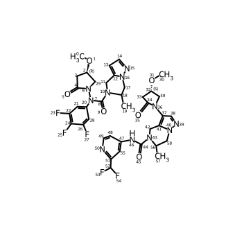 CO[C@@H]1CC(=O)N(N(C(=O)N2Cc3ccnn3CC2C)c2cc(F)c(F)c(F)c2)C1.CO[C@H]1CC(=O)N(c2cnn3c2CN(C(=O)Nc2ccnc(C(F)F)c2)C(C)C3)C1